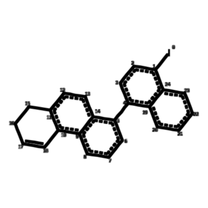 Ic1ccc(-c2cccc3c4c(ccc23)CCC=C4)c2ccccc12